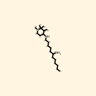 CCCCCCC(N)CCCCCNC1CCN(C)C(C)(C)C1C